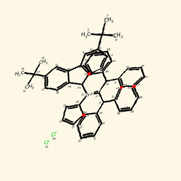 CC(C)(C)c1ccc2c(c1)-c1cc(C(C)(C)C)ccc1[CH]2[Zr+2]([C]1=CC=CC1)=[C](C(c1ccccc1)c1ccccc1)C(c1ccccc1)c1ccccc1.[Cl-].[Cl-]